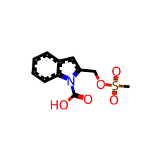 CS(=O)(=O)OCc1cc2ccccc2n1C(=O)O